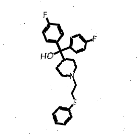 OC(c1ccc(F)cc1)(c1ccc(F)cc1)C1CCN(CCSc2ccccc2)CC1